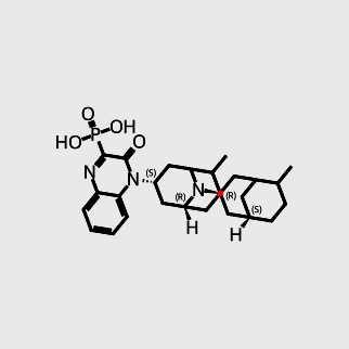 CC1CC[C@H]2CC1C[C@H](N1C3C[C@@H](n4c(=O)c(P(=O)(O)O)nc5ccccc54)C[C@H]1CCC3C)C2